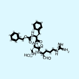 CC(C)C[C@H](NC(=O)[C@H](Cc1ccccc1)NC(=O)OCc1ccccc1)C(=O)N[C@H](C=O)CCCNC(=N)N.Cl